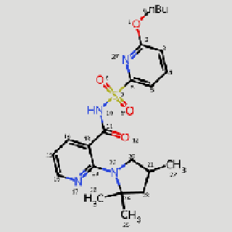 CCCCOc1cccc(S(=O)(=O)NC(=O)c2cccnc2N2CC(C)CC2(C)C)n1